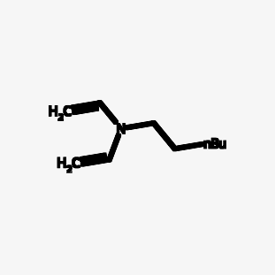 C=CN(C=C)CCCCCC